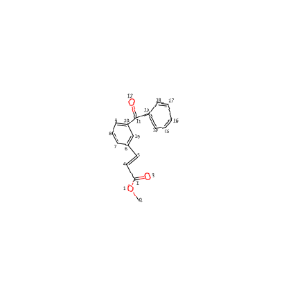 COC(=O)C=Cc1cccc(C(=O)c2ccccc2)c1